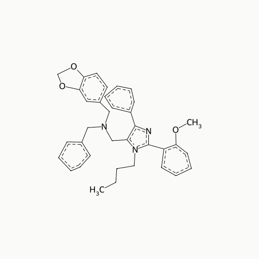 CCCCn1c(-c2ccccc2OC)nc(-c2ccccc2)c1CN(Cc1ccccc1)Cc1ccc2c(c1)OCO2